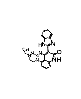 CCN1CCN(c2cccc3[nH]c(=O)c(-c4nc5ccccc5[nH]4)c(N)c23)CC1